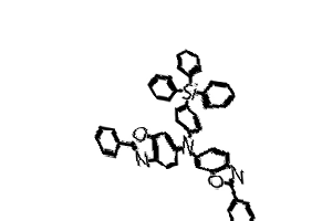 c1ccc(-c2nc3ccc(N(c4ccc([Si](c5ccccc5)(c5ccccc5)c5ccccc5)cc4)c4ccc5nc(-c6ccccc6)oc5c4)cc3o2)cc1